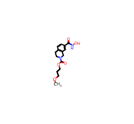 COCCCOC(=O)N1CCc2ccc(C(=O)NO)cc2C1